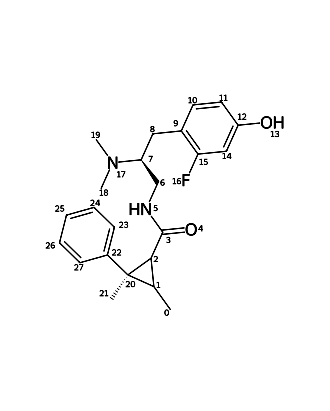 CC1C(C(=O)NC[C@H](Cc2ccc(O)cc2F)N(C)C)[C@]1(C)c1ccccc1